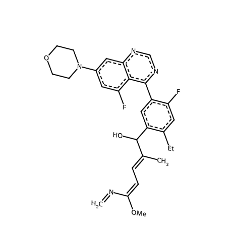 C=N/C(=C\C=C(/C)C(O)c1cc(-c2ncnc3cc(N4CCOCC4)cc(F)c23)c(F)cc1CC)OC